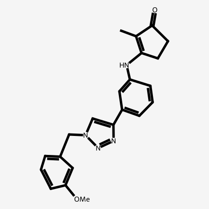 COc1cccc(Cn2cc(-c3cccc(NC4=C(C)C(=O)CC4)c3)nn2)c1